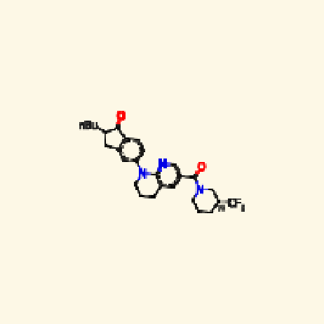 CCCCC1Cc2cc(N3CCCc4cc(C(=O)N5CCC[C@@H](C(F)(F)F)C5)cnc43)ccc2C1=O